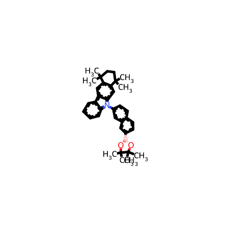 CC1(C)CCC(C)(C)c2cc3c(cc21)c1ccccc1n3-c1ccc2ccc(B3OC(C)(C)C(C)(C)O3)cc2c1